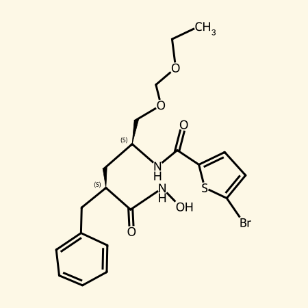 CCOCOC[C@H](C[C@H](Cc1ccccc1)C(=O)NO)NC(=O)c1ccc(Br)s1